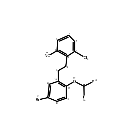 N#Cc1cccc(Cl)c1CCc1cc(Br)ccc1OC(F)F